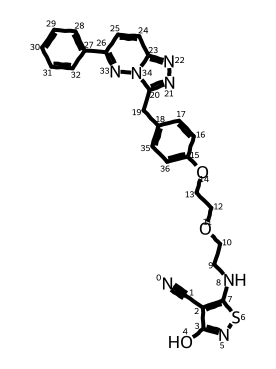 N#Cc1c(O)nsc1NCCOCCOc1ccc(Cc2nnc3ccc(-c4ccccc4)nn23)cc1